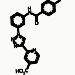 Cc1ccc(C(=O)Nc2cccc(-n3cc(-c4cc(C(=O)O)ccn4)nn3)c2)cc1